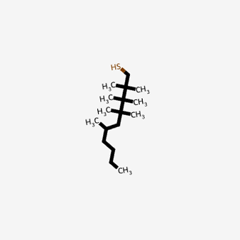 CCCCC(C)CC(C)(C)C(C)(C)C(C)(C)CS